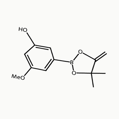 C=C1OB(c2cc(O)cc(OC)c2)OC1(C)C